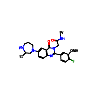 CCC1CN(c2ccc3nc(-c4ccc(F)c(OC)c4)n(CC(=O)NC(C)C)c(=O)c3c2)CCCN1